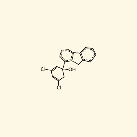 OC1(c2cccc3c2Cc2ccccc2-3)C=C(Cl)C=C(Cl)C1